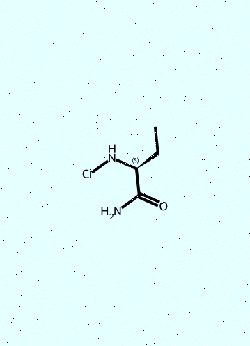 CC[C@H](NCl)C(N)=O